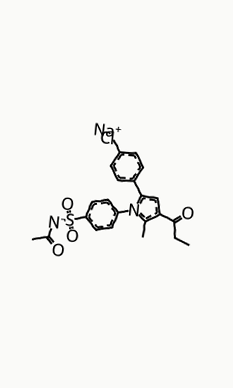 CCC(=O)c1cc(-c2ccc(Cl)cc2)n(-c2ccc(S(=O)(=O)[N-]C(C)=O)cc2)c1C.[Na+]